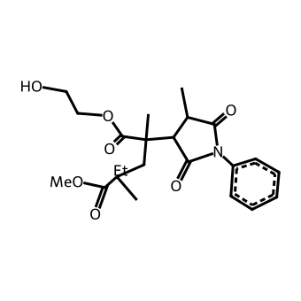 CCC(C)(CC(C)(C(=O)OCCO)C1C(=O)N(c2ccccc2)C(=O)C1C)C(=O)OC